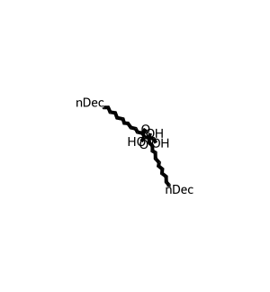 CCCCCCCCCCCCCCCCCCCCCC(=O)C(O)C(O)(CO)C(=O)CCCCCCCCCCCCCCCCCCCCC